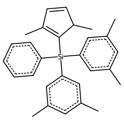 CC1=C([Si](c2ccccc2)(c2cc(C)cc(C)c2)c2cc(C)cc(C)c2)C(C)C=C1